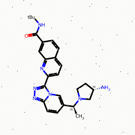 C[C@@H](c1ccc2nnc(-c3ccc4ccc(C(=O)NC(C)(C)C)cc4n3)n2c1)N1CC[C@H](N)C1